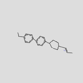 C/C=C/C1CCC(c2ccc(-c3ccc(CC)cc3)cc2)CC1